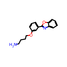 NCCCCOc1cccc(-c2nc3ccccc3o2)c1